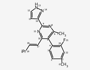 Cc1ccc(-c2c(C)nc(-c3cc[nH]n3)nc2C=CC(C)C)c(F)c1